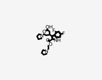 O=C(O)CC(CCN1CCCC1)c1c(C(=O)OCCN2CCCC2)[nH]c2cc(F)cc(F)c12